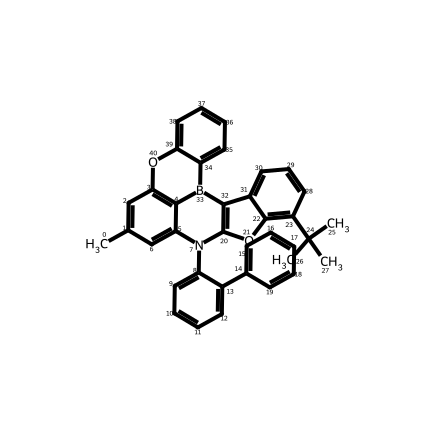 Cc1cc2c3c(c1)N(c1ccccc1-c1ccccc1)c1oc4c(C(C)(C)C)cccc4c1B3c1ccccc1O2